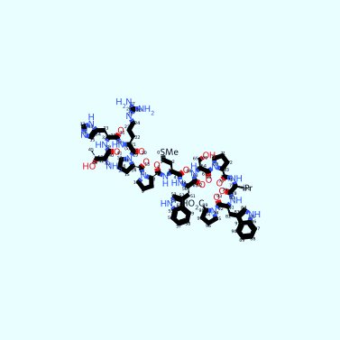 CSCC[C@H](NC(=O)[C@@H]1CCCN1C(=O)[C@@H]1CCCN1C(=O)[C@H](CCCN=C(N)N)NC(=O)[C@H](Cc1cnc[nH]1)NC(=O)[C@@H](N)[C@@H](C)O)C(=O)N[C@@H](Cc1c[nH]c2ccccc12)C(=O)N[C@@H](CO)C(=O)N1CCC[C@H]1C(=O)N[C@H](C(=O)N[C@@H](Cc1c[nH]c2ccccc12)C(=O)N1CCC[C@H]1C(=O)O)C(C)C